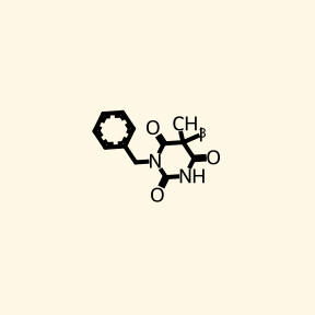 CC1(I)C(=O)NC(=O)N(Cc2ccccc2)C1=O